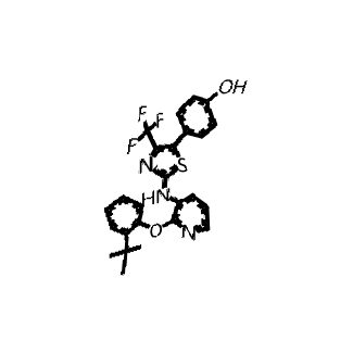 CC(C)(C)c1ccccc1Oc1ncccc1Nc1nc(C(F)(F)F)c(-c2ccc(O)cc2)s1